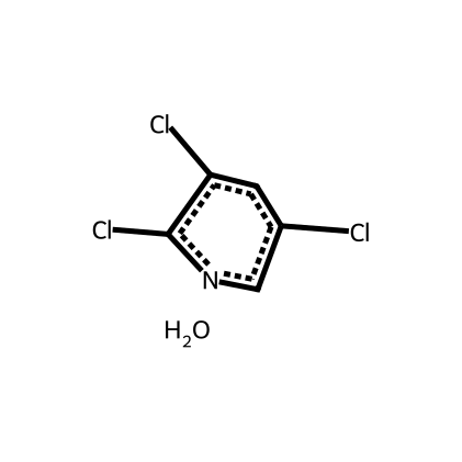 Clc1cnc(Cl)c(Cl)c1.O